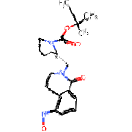 CC(C)(C)OC(=O)N1CCC[C@H]1Cn1ccc2c(N=O)cccc2c1=O